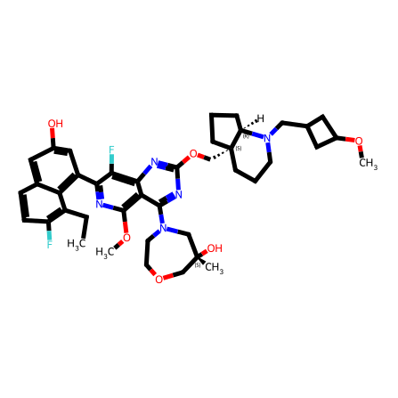 CCc1c(F)ccc2cc(O)cc(-c3nc(OC)c4c(N5CCOC[C@@](C)(O)C5)nc(OC[C@]56CCC[C@H]5N(CC5CC(OC)C5)CCC6)nc4c3F)c12